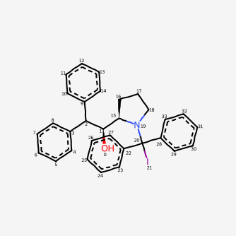 O[C@@H](C(c1ccccc1)c1ccccc1)[C@H]1CCCN1C(I)(c1ccccc1)c1ccccc1